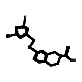 O=C(O)N1CCc2ccc(OCc3cc(F)cc(Cl)c3)cc2C1